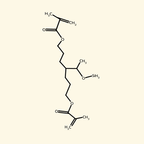 C=C(C)C(=O)OCCCC(CCCOC(=O)C(=C)C)C(C)O[SiH3]